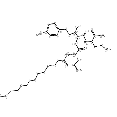 CCOCCOCCOCCOCCC(=O)N[C@@H](CCN)C(=O)N[C@H](C(=O)NC(CCN)C(N)=O)[C@H](O)CCc1ccc(OC)cc1